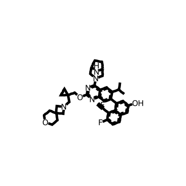 C#Cc1c(F)ccc2cc(O)cc(-c3c(C(C)C)cc4c(N5CC6CCC(C5)N6)nc(OCC5(CN6CC7(CCOCC7)C6)CC5)nc4c3F)c12